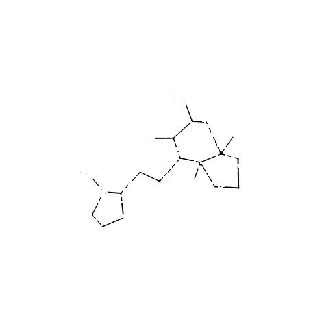 CN1CCCC1CCC1C(O)C(O)CC2(O)CCCC12O